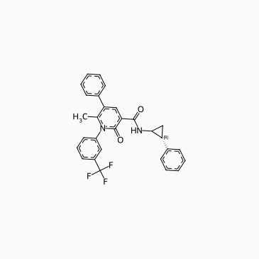 Cc1c(-c2ccccc2)cc(C(=O)NC2C[C@@H]2c2ccccc2)c(=O)n1-c1cccc(C(F)(F)F)c1